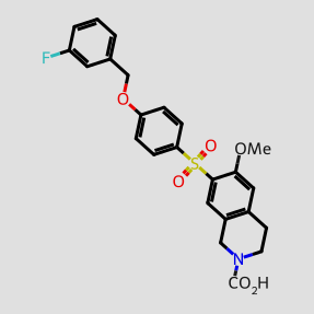 COc1cc2c(cc1S(=O)(=O)c1ccc(OCc3cccc(F)c3)cc1)CN(C(=O)O)CC2